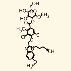 C#CCCCn1c(COc2c(Cl)cc(C(=O)O[C@H]3[C@@H](OC)O[C@H](CO)[C@@H](O)[C@@H]3O)c(C)c2Cl)nc2ccc(OC)cc21